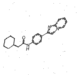 O=C(CC1CCCCC1)Nc1ccc(-c2cn3ccccc3n2)cc1